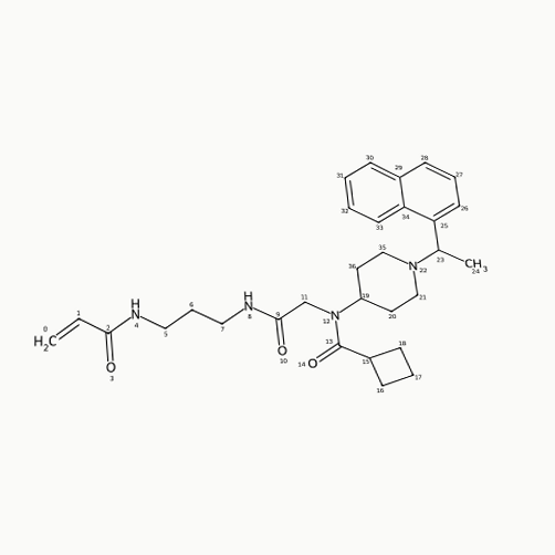 C=CC(=O)NCCCNC(=O)CN(C(=O)C1CCC1)C1CCN(C(C)c2cccc3ccccc23)CC1